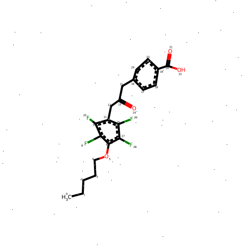 CCCCCOc1c(F)c(F)c(CC(=O)Cc2ccc(C(=O)O)cc2)c(F)c1F